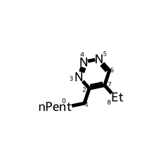 CCCCCCc1nnncc1CC